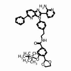 CC(C)(C)[Si](C)(C)Oc1cc(C(=O)NCCc2ccc(-n3c(-c4cccnc4N)nc4ccc(-c5ccccc5)nc43)cc2)ccc1C1OCCO1